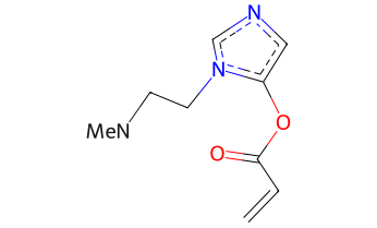 C=CC(=O)Oc1cncn1CCNC